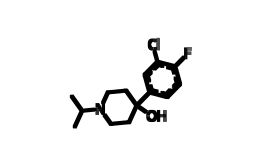 CC(C)N1CCC(O)(c2ccc(F)c(Cl)c2)CC1